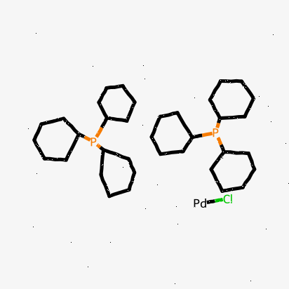 C1CCC(P(C2CCCCC2)C2CCCCC2)CC1.C1CCC(P(C2CCCCC2)C2CCCCC2)CC1.[Cl][Pd]